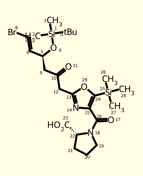 CC(C)(C)[Si](C)(C)O[C@H](/C=C/Br)CC(=O)Cc1nc(C(=O)N2CCC[C@@H]2C(=O)O)c([Si](C)(C)C)o1